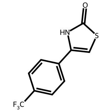 O=c1[nH]c(-c2ccc(C(F)(F)F)cc2)cs1